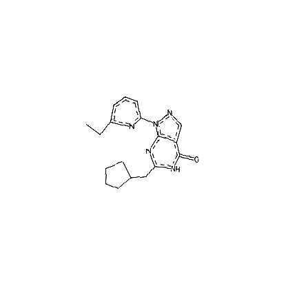 CCc1cccc(-n2ncc3c(=O)[nH]c(CC4CCCC4)nc32)n1